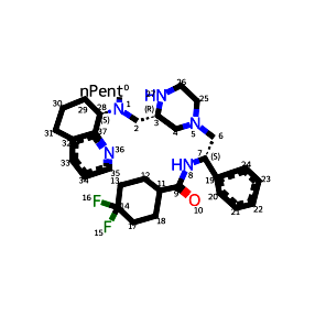 CCCCCN(C[C@H]1CN(C[C@@H](NC(=O)C2CCC(F)(F)CC2)c2ccccc2)CCN1)[C@H]1CCCc2cccnc21